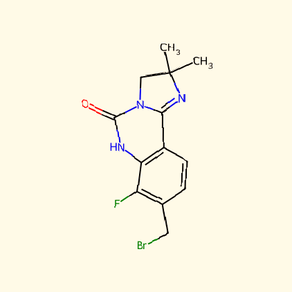 CC1(C)CN2C(=O)Nc3c(ccc(CBr)c3F)C2=N1